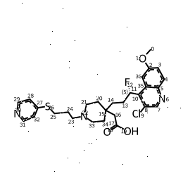 COc1ccc2ncc(Cl)c([C@@H](F)CCC3(CC(=O)O)CCN(CCCSc4ccncc4)CC3)c2c1